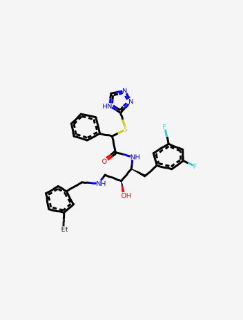 CCc1cccc(CNC[C@H](O)[C@H](Cc2cc(F)cc(F)c2)NC(=O)C(Sc2nnc[nH]2)c2ccccc2)c1